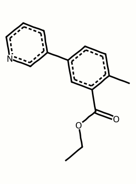 CCOC(=O)c1cc(-c2cccnc2)ccc1C